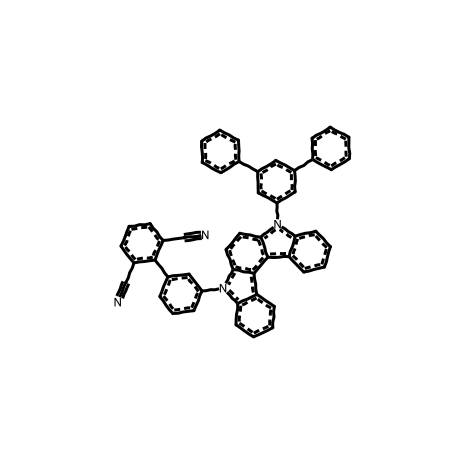 N#Cc1cccc(C#N)c1-c1cccc(-n2c3ccccc3c3c4c5ccccc5n(-c5cc(-c6ccccc6)cc(-c6ccccc6)c5)c4ccc32)c1